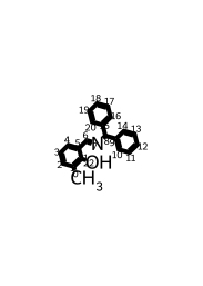 Cc1cccc(C=NC(c2ccccc2)c2ccccc2)c1O